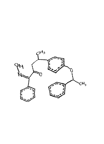 CC(CC(=O)C(=NO)c1ccccc1)c1ccc(OC(C)c2ccccc2)cc1